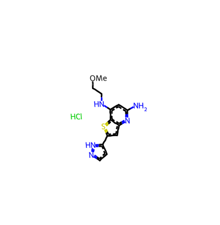 COCCNc1cc(N)nc2cc(-c3ccn[nH]3)sc12.Cl